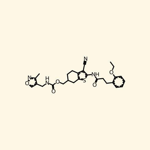 CCOc1ccccc1CCC(=O)Nc1sc2c(c1C#N)CCC(COC(=O)NCc1conc1C)C2